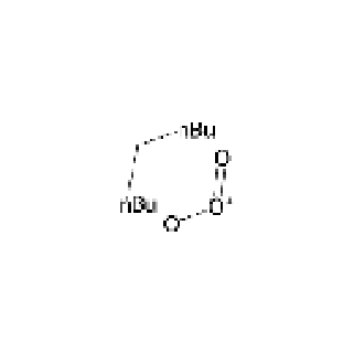 CCCCCCCCC.O=[O+][O-]